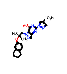 CC(C)(Cn1ncc2nc(-n3cc(C(=O)O)cn3)nc(O)c21)Oc1ccc2c(c1)CCCC2